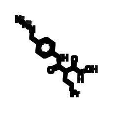 CC(C)CCC(C(=O)NO)C(=O)Nc1ccc(CN=[N+]=[N-])cc1